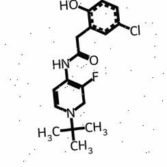 CC(C)(C)N1C=CC(NC(=O)Cc2cc(Cl)ccc2O)=C(F)C1